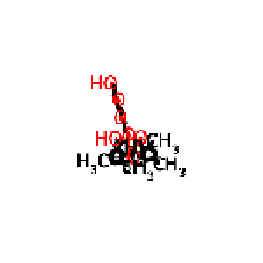 Cc1cc(C)c(C(=O)P(C(=O)c2c(C)cc(C)cc2C)C(CO)OCCOCCOCCO)c(C)c1